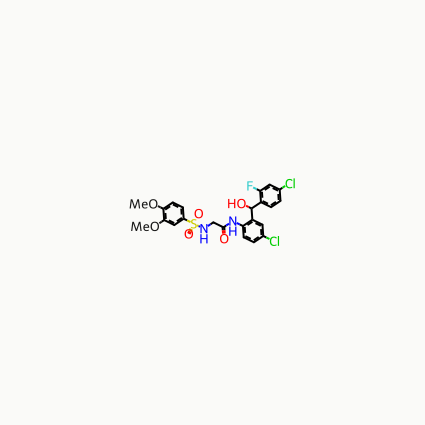 COc1ccc(S(=O)(=O)NCC(=O)Nc2ccc(Cl)cc2C(O)c2ccc(Cl)cc2F)cc1OC